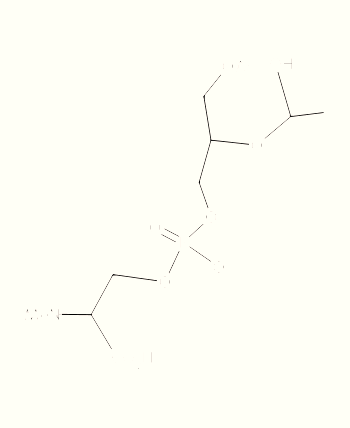 CNC(COP(=O)(O)OCC(COC(C)=O)OC(C)O)C(=O)O